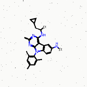 CCNc1ccc2c(c1)c1c(NC(CC)CC3CC3)nc(C)nc1n2-c1c(C)cc(C)cc1C